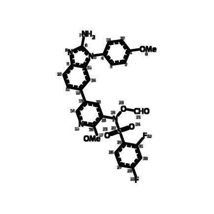 COc1ccc(-n2c(N)nc3ccc(-c4cnc(OC)c(N(OC=O)S(=O)(=O)c5ccc(F)cc5F)c4)cc32)cc1